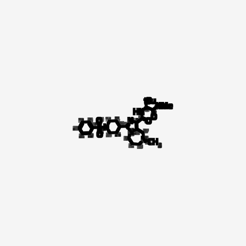 CNC(=O)[C@@H](NC(=O)c1nc(C2CCN(S(=O)(=O)c3ccccc3)CC2)n2c1CN(C)CCC2)C(C)(C)C